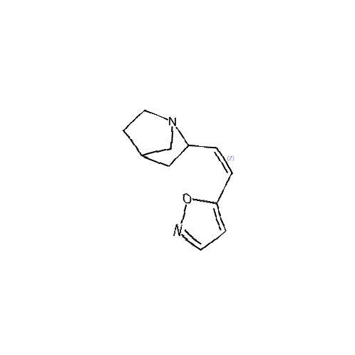 C(=C/C1CC2CCN1C2)/c1ccno1